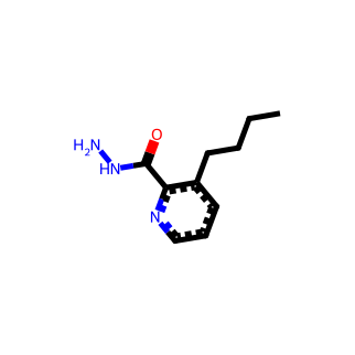 CCCCc1cccnc1C(=O)NN